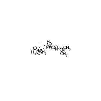 Cc1cc(-c2ccc3cc(S(=O)(=O)NC4CCC(C(=O)NC(c5ccccc5)C(C)(C)O)CC4)ccc3n2)cc(C)n1